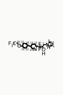 OC(Cn1cncn1)C(F)(F)c1ccc(-c2ccc(OCC(F)(F)F)cc2)cn1